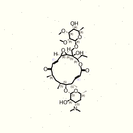 CC[C@H]1OC(=O)/C=C/[C@H](C)[C@@H](O[C@@H]2O[C@H](C)C[C@H](N(C)C)[C@H]2O)[C@@H](C)C[C@@H](C)C(=O)/C=C/[C@H]2O[C@H]2[C@]1(O)CO[C@@H]1O[C@H](C)[C@@H](O)[C@@H](OC)[C@H]1OC